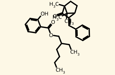 CC12CCC(C(=Cc3ccccc3)C1=O)C2(C)C.CCCCC(CC)COC(=O)c1ccccc1O